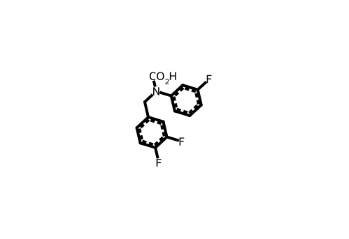 O=C(O)N(Cc1ccc(F)c(F)c1)c1cccc(F)c1